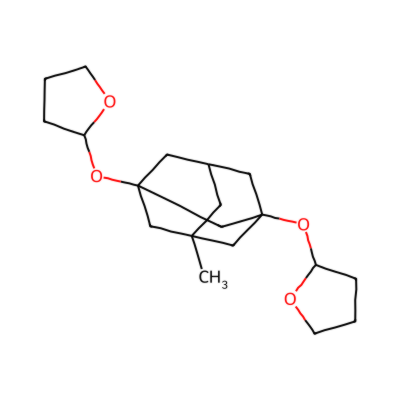 CC12CC3CC(OC4CCCO4)(C1)CC(OC1CCCO1)(C3)C2